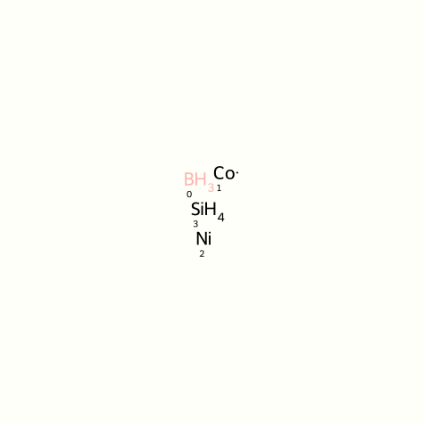 B.[Co].[Ni].[SiH4]